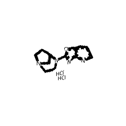 Cl.Cl.c1cnc2nc(N3CCN4CCC3C4)oc2c1